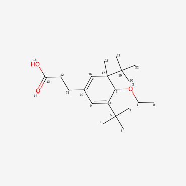 CCOC1C(C(C)(C)C)=CC(CCC(=O)O)=CC1(C)C(C)(C)C